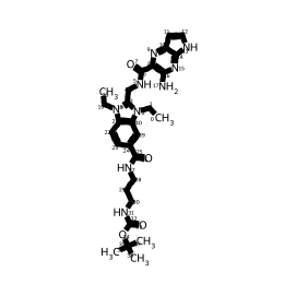 CCn1c(CNC(=O)c2nc3cc[nH]c3nc2N)[n+](CC)c2ccc(C(=O)NCCCNC(=O)OC(C)(C)C)cc21